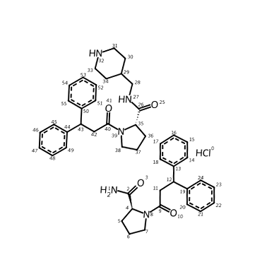 Cl.NC(=O)[C@@H]1CCCN1C(=O)CC(c1ccccc1)c1ccccc1.O=C(NCC1CCNCC1)[C@@H]1CCCN1C(=O)CC(c1ccccc1)c1ccccc1